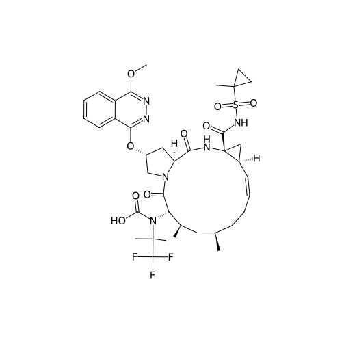 COc1nnc(O[C@@H]2C[C@H]3C(=O)N[C@]4(C(=O)NS(=O)(=O)C5(C)CC5)C[C@H]4C=CCC[C@@H](C)C[C@@H](C)[C@H](N(C(=O)O)C(C)(C)C(F)(F)F)C(=O)N3C2)c2ccccc12